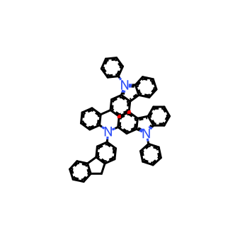 c1ccc(-n2c3ccccc3c3ccc(-c4ccccc4N(c4ccc5c(c4)-c4ccccc4C5)c4ccc5c6ccccc6n(-c6ccccc6)c5c4)cc32)cc1